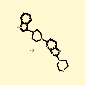 Cl.c1ccc2c(C3CCN(c4ccc5nc(N6CCOCC6)sc5n4)CC3)c[nH]c2c1